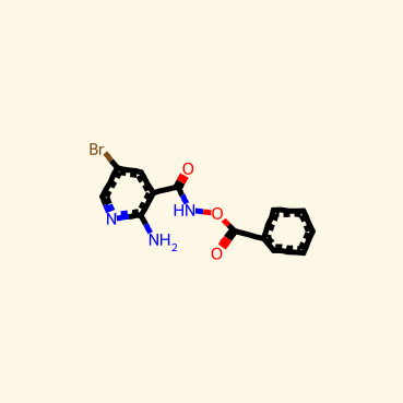 Nc1ncc(Br)cc1C(=O)NOC(=O)c1ccccc1